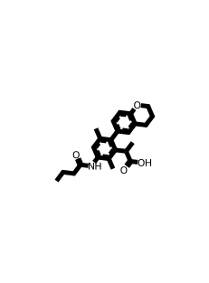 CCCC(=O)Nc1cc(C)c(-c2ccc3c(c2)CCCO3)c(C(C)C(=O)O)c1C